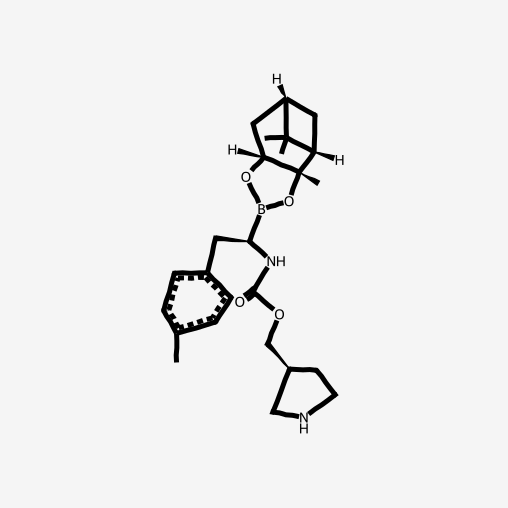 Cc1ccc(C[C@H](NC(=O)OC[C@H]2CCNC2)B2O[C@@H]3C[C@@H]4C[C@@H](C4(C)C)[C@]3(C)O2)cc1